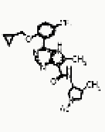 CC(=O)N1C[C@H](C)[C@H](NC(=O)c2c(C)[nH]c3c(-c4cc(C(F)(F)F)ccc4OCC4CC4)ncnc23)C1